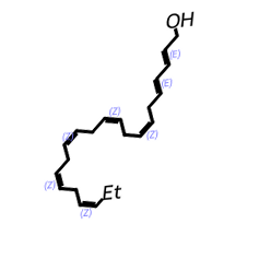 CC/C=C\C/C=C\C/C=C\C/C=C\C/C=C\C/C=C/C=C/CO